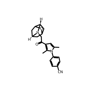 Cc1cc(C(=O)CN2[C@H]3CC4C[C@H]2C(C3)O4)c(C)n1-c1ccc(C#N)cc1